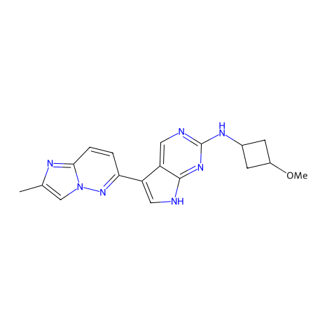 COC1CC(Nc2ncc3c(-c4ccc5nc(C)cn5n4)c[nH]c3n2)C1